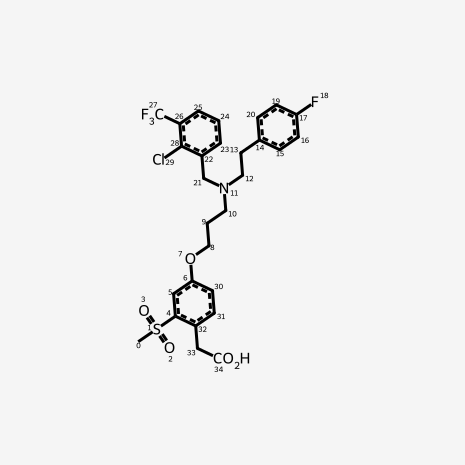 CS(=O)(=O)c1cc(OCCCN(CCc2ccc(F)cc2)Cc2cccc(C(F)(F)F)c2Cl)ccc1CC(=O)O